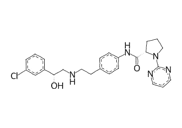 O=C(Nc1ccc(CCNC[C@H](O)c2cccc(Cl)c2)cc1)[C@@H]1CCCN1c1ncccn1